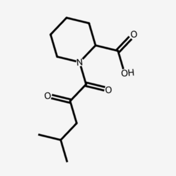 CC(C)CC(=O)C(=O)N1CCCCC1C(=O)O